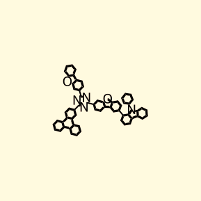 c1ccc(-n2c3ccccc3c3cccc(-c4ccc5oc6cc(-c7nc(-c8ccc9c(c8)oc8ccccc89)nc(-c8ccc9c%10ccccc%10c%10ccccc%10c9c8)n7)ccc6c5c4)c32)cc1